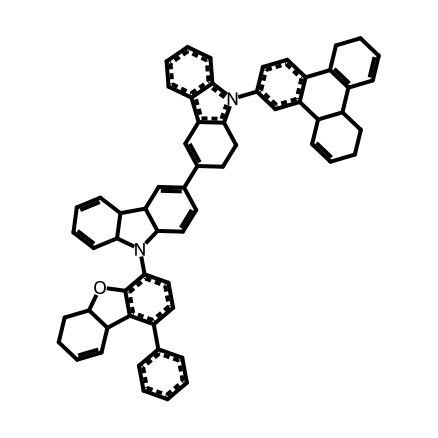 C1=CC2C3C=C(C4=Cc5c(n(-c6ccc7c(c6)C6C=CCCC6C6=C7CCC=C6)c6ccccc56)CC4)C=CC3N(c3ccc(-c4ccccc4)c4c3OC3CCC=CC43)C2C=C1